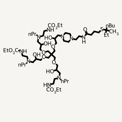 CCCCC(C)(CC)SCCCC(=O)NCCN1CCN(CC(O)COCC(COCC(O)CN(CCC)CCNC(=O)OCC)(COCC(O)CN(CCC)CCNC(=O)OCC)COCC(O)CN(CCC)CCNC(=O)OCC)CC1